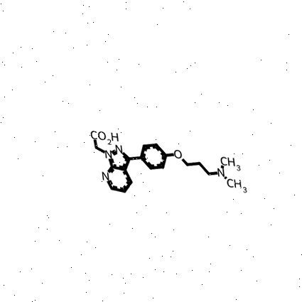 CN(C)CCCOc1ccc(-c2nn(CC(=O)O)c3ncccc23)cc1